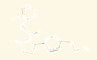 CCOc1ccc([C@H]2CNC(=O)[C@@H]2C(=O)Nc2ccccc2F)cc1